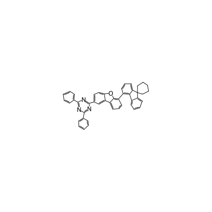 c1ccc(-c2nc(-c3ccccc3)nc(-c3ccc4oc5c(-c6cccc7c6-c6ccccc6C76CCCCC6)cccc5c4c3)n2)cc1